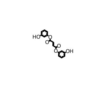 O=C(C=CC(=O)Oc1cccc(O)c1)Oc1cccc(O)c1